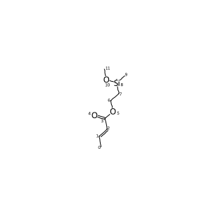 CC=CC(=O)OCC[Si](C)OC